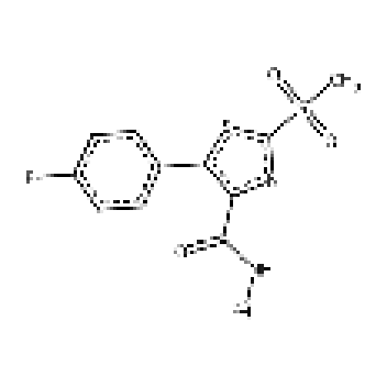 [2H]NC(=O)c1nc(S(C)(=O)=O)sc1-c1ccc(F)cc1